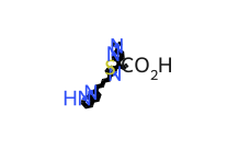 CN(C)c1ccc(C(CC(=O)O)c2nc(CCCCc3ccc4c(n3)NCCC4)cs2)cn1